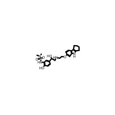 CN(C)S(=O)(=O)Nc1cc(C(O)CNCCOc2ccc3c4c([nH]c3c2)CCCC4)ccc1O